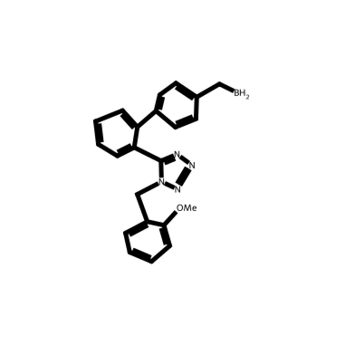 BCc1ccc(-c2ccccc2-c2nnnn2Cc2ccccc2OC)cc1